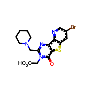 O=C(O)Cn1c(CN2CCCCC2)nc2c(sc3cc(Br)cnc32)c1=O